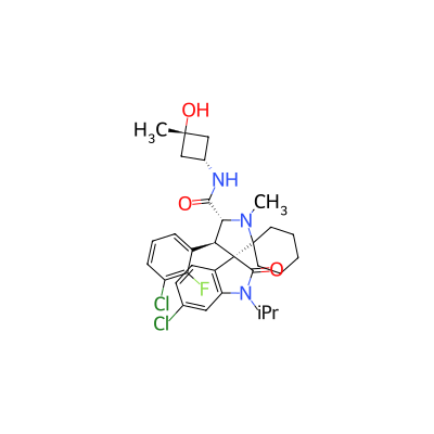 CC(C)N1C(=O)[C@@]2(c3ccc(Cl)cc31)[C@@H](c1cccc(Cl)c1F)[C@H](C(=O)N[C@H]1C[C@@](C)(O)C1)N(C)C21CCCCC1